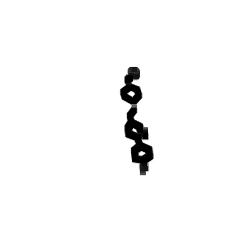 O=C[C@H]1CC[C@H](CCc2ccc(-c3ccc(F)cc3)nc2)CC1